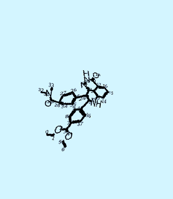 CCOC(OCC)c1ccc(C2Nc3cccc4c(=O)[nH]nc(c34)C2c2ccc(C(=O)N(C)C)cc2)cc1